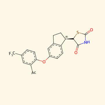 CC(=O)c1cc(C(F)(F)F)ccc1Oc1ccc2c(c1)CC[C@H]2C1SC(=O)NC1=O